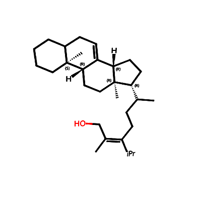 CC(CO)=C(CCC(C)[C@H]1CC[C@H]2C3=CCC4CCCC[C@]4(C)[C@H]3CC[C@]12C)C(C)C